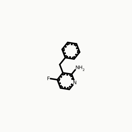 Nc1nccc(F)c1Cc1ccccc1